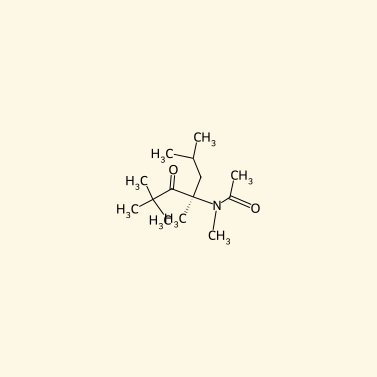 CC(=O)N(C)[C@](C)(CC(C)C)C(=O)C(C)(C)C